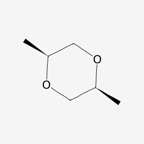 C[C@H]1CO[C@@H](C)CO1